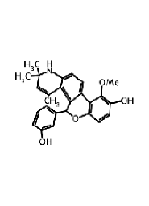 COc1c(O)ccc2c1-c1ccc3c(c1C(c1cccc(O)c1)O2)C(C)=CC(C)(C)N3